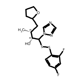 C[C@H](CC1CCCO1)[C@@H](O)C(SSc1ccc(F)cc1F)n1cncn1